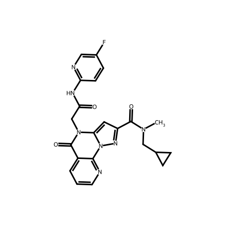 CN(CC1CC1)C(=O)c1cc2n(CC(=O)Nc3ccc(F)cn3)c(=O)c3cccnc3n2n1